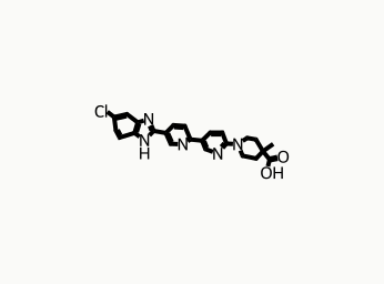 CC1(C(=O)O)CCN(c2ccc(-c3ccc(-c4nc5cc(Cl)ccc5[nH]4)cn3)cn2)CC1